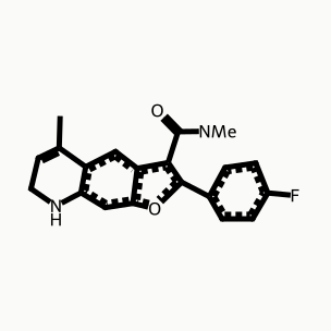 CNC(=O)c1c(-c2ccc(F)cc2)oc2cc3c(cc12)C(C)=CCN3